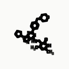 Cc1cc(C)c(CNc2nc(-c3ccc(CN4CCOCC4)cc3)nc3c2ncn3C2CCCC2)c(=O)[nH]1